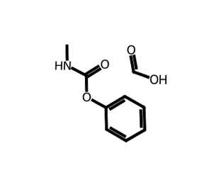 CNC(=O)Oc1ccccc1.O=CO